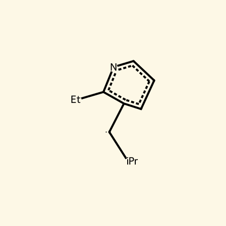 CCc1ncccc1[CH]C(C)C